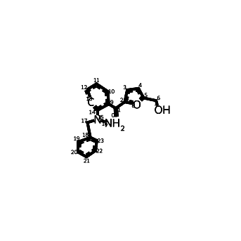 C=C(c1ccc(CO)o1)c1ccccc1N(N)Cc1ccccc1